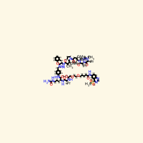 CC[C@H](C)[C@@H]([C@@H](CC(=O)N1CCC[C@H]1[C@H](OC)[C@@H](C)C(=O)N[C@@H](Cc1ccccc1)C(=O)NCc1ccc(NC(=O)[C@H](CCCNC(N)=O)NC(=O)[C@@H](NC(=O)COCCOCCCCC(=O)Nc2ccc3ncnc(S(C)(=O)=O)c3c2)C(C)C)cc1)OC)N(C)C(=O)[C@@H](NC(=O)[C@H](C(C)C)N(C)C)C(C)C